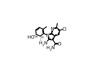 CC1=C(n2c(N)c(C(N)=O)c3cc(Cl)c(C)nc32)[C@H](C)[C@H](O)C=C1